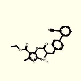 CCOC(=O)c1c(C)sc(N)c1NC(=O)C(C)Cc1ccc(-c2ccccc2C#N)cc1